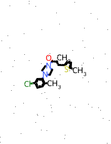 Cc1ccc(CC(C)C(=O)N2CCN(c3cc(Cl)ccc3C)CC2)s1